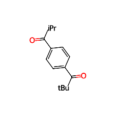 CC(C)C(=O)c1ccc(C(=O)C(C)(C)C)cc1